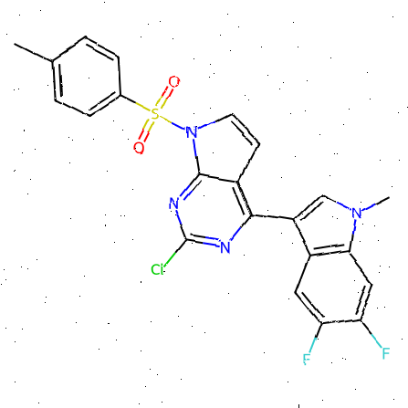 Cc1ccc(S(=O)(=O)n2ccc3c(-c4cn(C)c5cc(F)c(F)cc45)nc(Cl)nc32)cc1